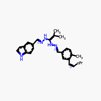 CCC/C=C\c1cc(/C=N/NC(N/N=C/c2ccc3[nH]ccc3c2)=C(C)C)ccc1C